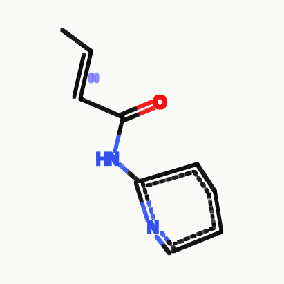 C/C=C/C(=O)Nc1ccccn1